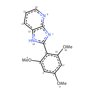 COc1cc(OC)c(-c2nc3ncccc3[nH]2)c(OC)c1